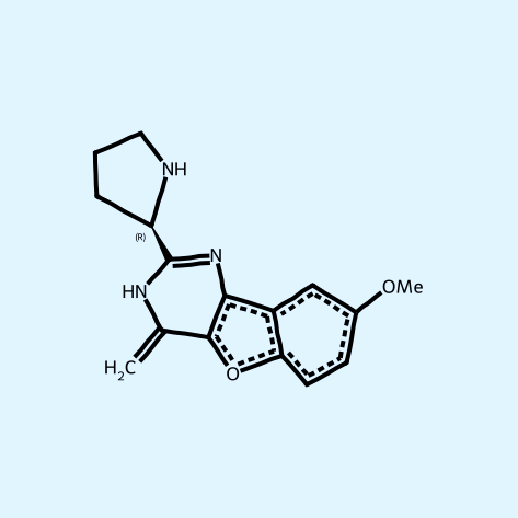 C=C1NC([C@H]2CCCN2)=Nc2c1oc1ccc(OC)cc21